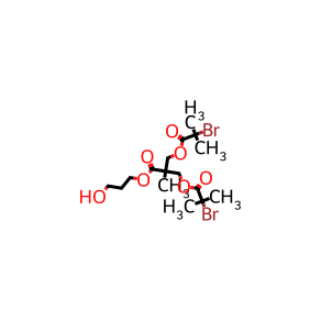 CC(C)(Br)C(=O)OCC(C)(COC(=O)C(C)(C)Br)C(=O)OCCCO